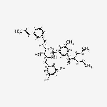 CC=Cc1cccc(CNC[C@@H](O)[C@H](Cc2cc(F)cc(F)c2)NC(=O)c2cc(C)cc(C(=O)N(CCC)CCC)c2)c1